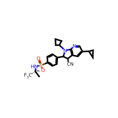 C[C@@H](NS(=O)(=O)c1ccc(C2C(C#N)c3cc(C4CC4)cnc3N2C2CCC2)cc1)C(F)(F)F